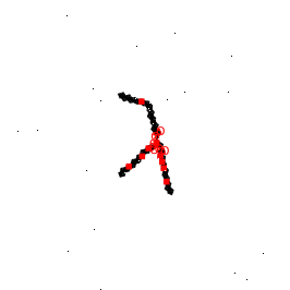 CCCCCCCCC/C=C\CCCCCCCC(=O)OC[C@@H](COC(=O)CCCCCCCCCCCCC)OC(=O)CCCCCCCCCCCCC